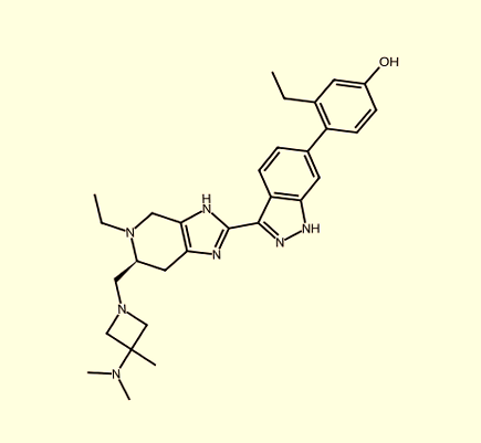 CCc1cc(O)ccc1-c1ccc2c(-c3nc4c([nH]3)CN(CC)[C@H](CN3CC(C)(N(C)C)C3)C4)n[nH]c2c1